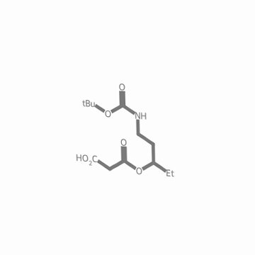 CCC(CCNC(=O)OC(C)(C)C)OC(=O)CC(=O)O